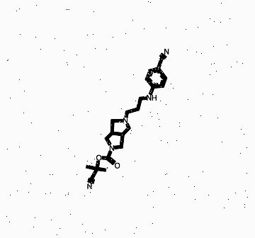 CC(C)(C#N)OC(=O)N1CC2CN(CCCNc3ccc(C#N)cc3)CC2C1